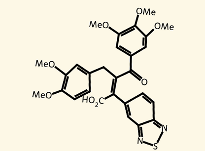 COc1ccc(C/C(C(=O)c2cc(OC)c(OC)c(OC)c2)=C(\C(=O)O)c2ccc3nsnc3c2)cc1OC